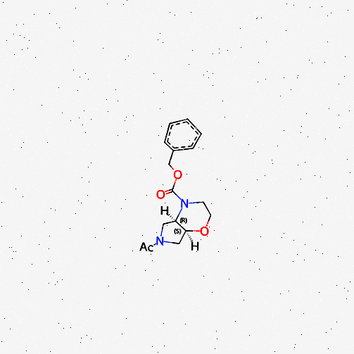 CC(=O)N1C[C@@H]2OCCN(C(=O)OCc3ccccc3)[C@@H]2C1